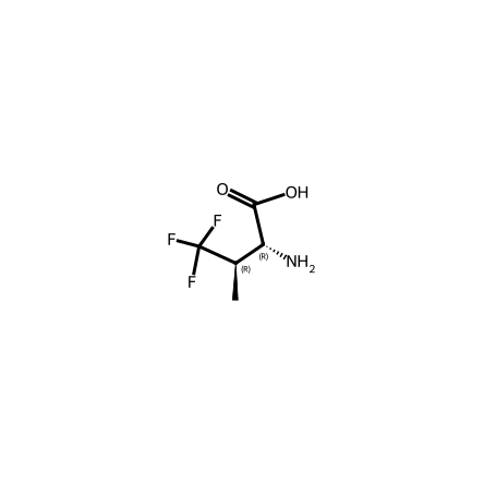 C[C@H]([C@@H](N)C(=O)O)C(F)(F)F